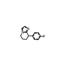 Fc1ccc(C2CCCn3ccnc32)cc1